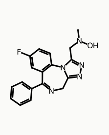 CN(O)Cc1nnc2n1-c1ccc(F)cc1C(c1ccccc1)=NC2